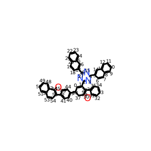 C1=C(c2nc(-c3ccc4ccccc4c3)nc(-c3ccc4ccccc4c3)n2)c2c(oc3ccccc23)CC1c1ccc2c(c1)oc1c3ccccc3ccc21